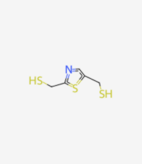 SCc1cnc(CS)s1